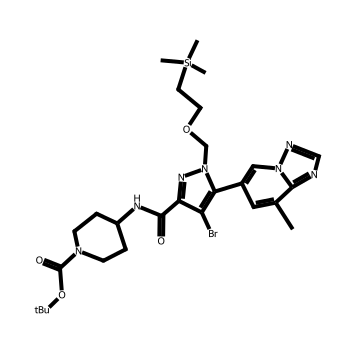 Cc1cc(-c2c(Br)c(C(=O)NC3CCN(C(=O)OC(C)(C)C)CC3)nn2COCC[Si](C)(C)C)cn2ncnc12